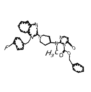 CN(c1nccc(=O)n1C(=O)OCc1ccccc1)C1CCN(c2nc3ccccc3n2Cc2ccc(F)cc2)CC1